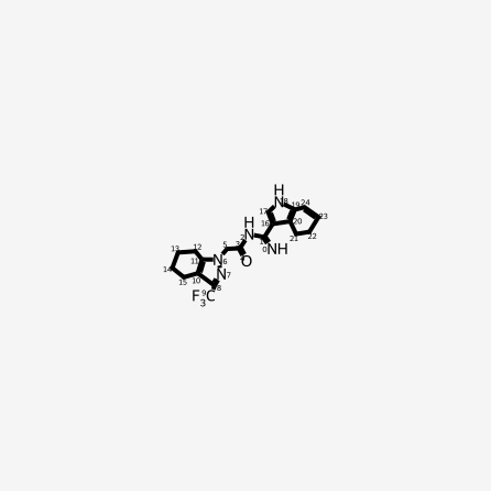 N=C(NC(=O)Cn1nc(C(F)(F)F)c2c1CCCC2)c1c[nH]c2c1CCC=C2